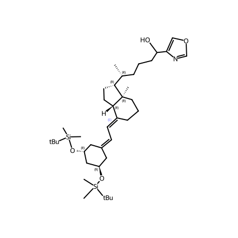 C[C@H](CCCC(O)c1cocn1)[C@H]1CC[C@H]2/C(=C/C=C3C[C@@H](O[Si](C)(C)C(C)(C)C)C[C@H](O[Si](C)(C)C(C)(C)C)C3)CCC[C@]12C